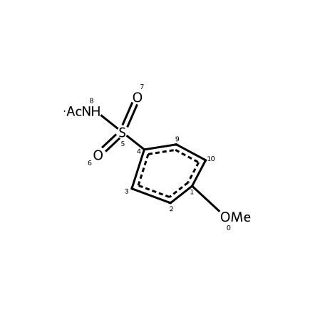 COc1ccc(S(=O)(=O)[N]C(C)=O)cc1